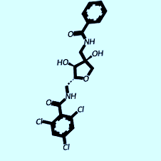 O=C(NC[C@]1(O)CO[C@H](CNC(=O)c2c(Cl)cc(Cl)cc2Cl)[C@H]1O)c1ccccc1